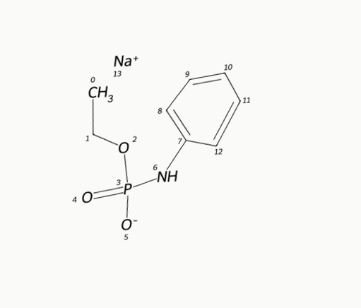 CCOP(=O)([O-])Nc1ccccc1.[Na+]